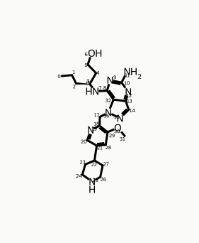 CCC[C@@H](CCO)Nc1nc(N)nc2cnn(Cc3ncc(C4CCNCC4)cc3OC)c12